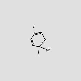 OC1(F)C=CC(Cl)=CC1